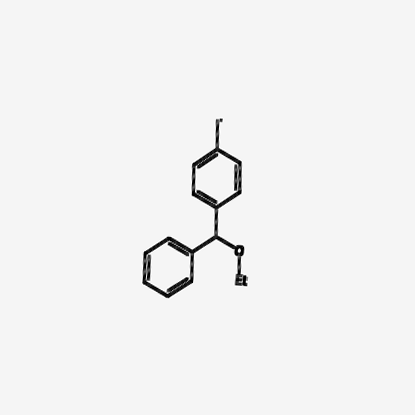 [CH2]c1ccc(C(OCC)c2ccccc2)cc1